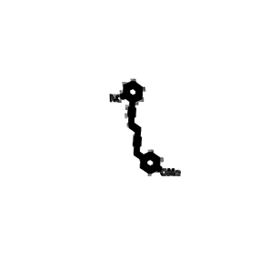 COc1ccc(CC#CC=CC#Cc2ccccc2C#N)cc1